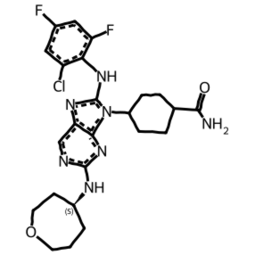 NC(=O)C1CCC(n2c(Nc3c(F)cc(F)cc3Cl)nc3cnc(N[C@H]4CCCOCC4)nc32)CC1